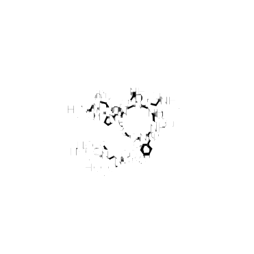 CC[C@H](C)[C@@H]1NC(=O)[C@H](Cc2ccc(OC)cc2)NC(=O)CCCSC[C@@H](C(=O)N2CCC[C@H]2C(=O)N[C@@H](CC(C)C)C(=O)NCC(N)=O)NC(=O)[C@H](CC(N)=O)NC(=O)[C@H](CCC(N)=O)NC1=O.O=C(O)CN(CCN(CC(=O)O)CC(=O)O)CC(=O)O